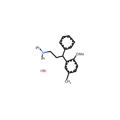 Br.COc1ccc(C)cc1C(CCN(C(C)C)C(C)C)c1ccccc1